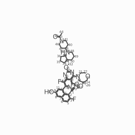 C#Cc1c(F)ccc2cc(O)cc(-c3nc(OC)c4c(N5CCOC[C@@](C)(O)C5)nc(OC[C@]56CCC[C@H]5N(C5CCN(C(C)=O)CC5)CCC6)nc4c3F)c12